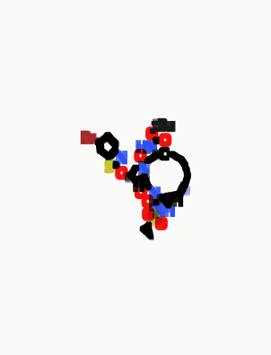 CC(C)(C)OC(=O)N[C@H]1CCCCC/C=C\[C@@H]2C[C@@]2(C(=O)NS(=O)(=O)C2CC2)NC(=O)[C@@H]2C[C@@H](Oc3nc4ccc(Br)cc4s3)CN2C1=O